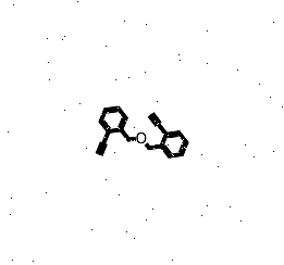 C#Cc1ccccc1COCc1ccccc1C#C